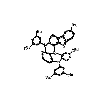 CC(C)(C)c1cc(N2c3ccc(C(C)(C)C)cc3B3c4c2cccc4N(c2cc(C(C)(C)C)cc(C(C)(C)C)c2)c2ccc4c(sc5ccc(C(C)(C)C)cc54)c23)cc(C(C)(C)C)c1